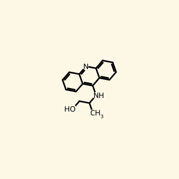 CC(CO)Nc1c2ccccc2nc2ccccc12